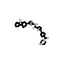 O=C(Nc1nc(-c2ccc3c(c2)[nH]c2ccccc23)cs1)c1ccc(-c2ccc(C(=O)N3CCNCC3)cc2)o1